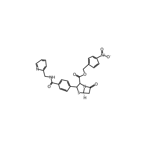 O=C(NCc1ccccn1)c1ccc(C2S[C@@H]3CC(=O)N3C2C(=O)OCc2ccc([N+](=O)[O-])cc2)cc1